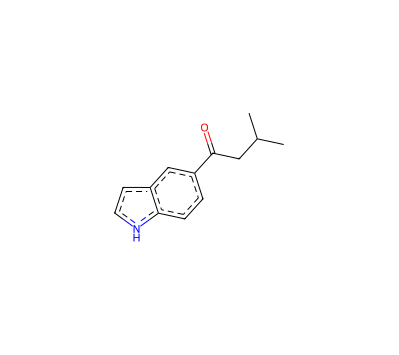 CC(C)CC(=O)c1ccc2[nH]ccc2c1